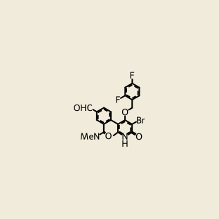 CNC(=O)c1cc(C=O)ccc1-c1c(C)[nH]c(=O)c(Br)c1OCc1ccc(F)cc1F